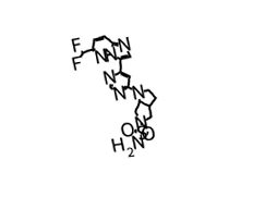 NS(=O)(=O)N1CC2CCN(c3cc(-c4cnc5ccc(C(F)F)nn45)ncn3)C2C1